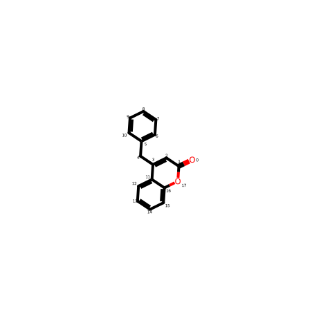 O=c1cc(Cc2ccccc2)c2ccccc2o1